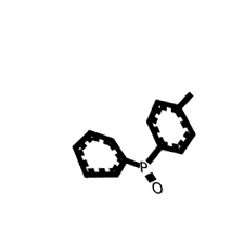 Cc1ccc([P](=O)c2ccccc2)cc1